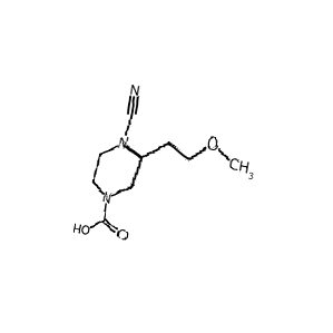 COCCC1CN(C(=O)O)CCN1C#N